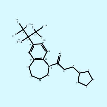 O=C(CCC1CCCC1)N1CCCCc2cc(C(O)(C(F)(F)F)C(F)(F)F)ccc21